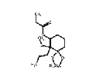 CCCC1(OC)C(SC(=O)CC)CCC[Si]1(OC)OC